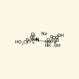 O=C(NCCCCCCn1cc(-n2c(C3CC3)c(Sc3cccc(C(=O)O)c3F)c3ccc(Cl)c(F)c32)cn1)Nc1ccc2c(c1)C(=O)OC21c2ccc(O)cc2Oc2cc(O)ccc21.[Na]